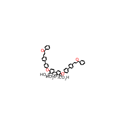 O=C(C=Cc1ccc(-c2ccc(Oc3ccc(-c4ccc(Oc5ccc(-c6ccc(C=CC(=O)c7ccccc7)cc6)cc5)c(C(=O)O)c4C(=O)O)c(C(=O)O)c3C(=O)O)cc2)cc1)c1ccccc1